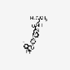 CC(C)CCNC(=O)c1cn2nc(N3CCN(C(=O)c4cc(F)ccc4C(F)(F)F)CC3)ccc2n1